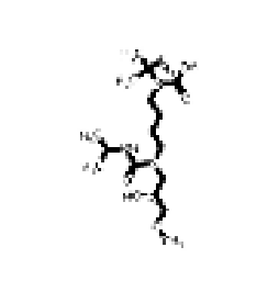 COC[C@H](O)CN(CCCCN(C(=O)O)C(C)(C)C)C(=O)NC(C)C